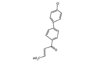 O=C(O)C=CC(=O)c1ccc(-c2ccc(Cl)cc2)cc1